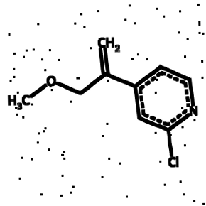 C=C(COC)c1ccnc(Cl)c1